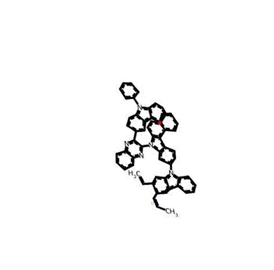 C=Cc1cc2c(cc1/C=C\C)c1ccccc1n2-c1ccc2c3c4ccccc4ccc3n(-c3nc4ccccc4nc3-c3ccc4c(c3)c3ccccc3n4-c3ccccc3)c2c1